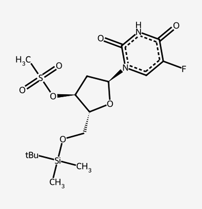 CC(C)(C)[Si](C)(C)OC[C@H]1O[C@H](n2cc(F)c(=O)[nH]c2=O)C[C@@H]1OS(C)(=O)=O